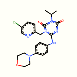 CC(C)n1c(=O)nc(Nc2ccc(N3CCOCC3)cc2)n(Cc2ccc(Cl)cn2)c1=O